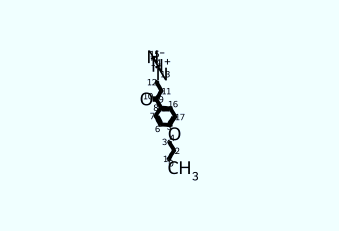 CCCCOc1ccc(C(=O)CCN=[N+]=[N-])cc1